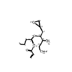 C=CC(=O)OC(CCC)OC(CC1CO1)C(O)CO